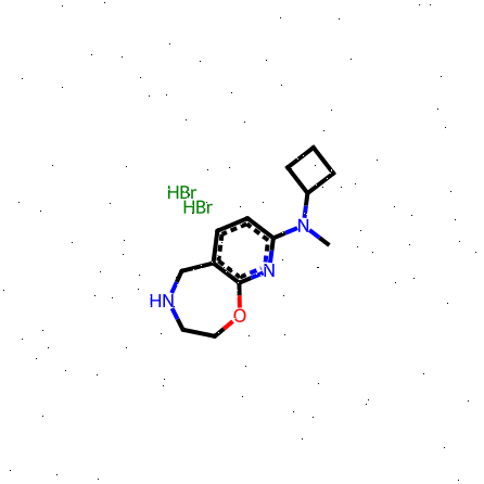 Br.Br.CN(c1ccc2c(n1)OCCNC2)C1CCC1